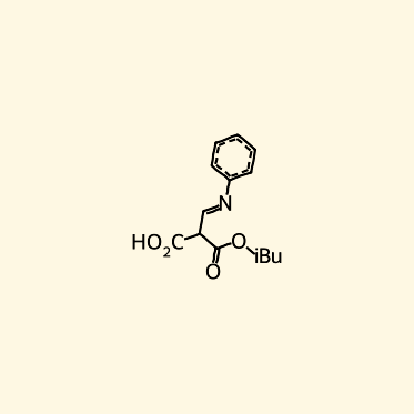 CCC(C)OC(=O)C(C=Nc1ccccc1)C(=O)O